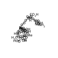 COc1cccc2c1C(=O)c1c(O)c3c(c(O)c1C2=O)CC(C(=O)CO)C[C@@H]3OC1CC(NC(=O)O[C@@H](CC2=CN(CCOCCOCCOCCNC(=O)[C@H](CCC(=O)O)NC(=O)c3ccc(NCc4cnc5nc(N)[nH]c(=O)c5n4)cc3)NN2)c2ccc(O[C@@H]3OC(CO)[C@H](O)C(O)[C@@H]3O)c([N+](=O)[O-])c2)CC(C)O1